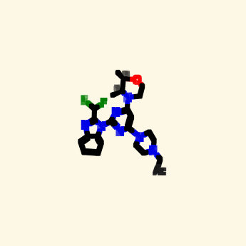 CC(=O)CN1CCN(c2cc(N3CCO[C@H](C)[C@@H]3C)nc(-n3c(C(F)F)nc4ccccc43)n2)CC1